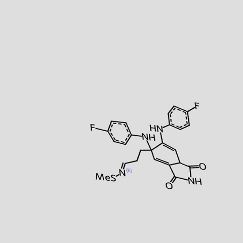 CS/N=C/CCC1(Nc2ccc(F)cc2)C=C2C(=O)NC(=O)C2C=C1Nc1ccc(F)cc1